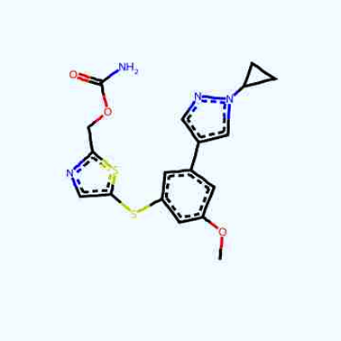 COc1cc(Sc2cnc(COC(N)=O)s2)cc(-c2cnn(C3CC3)c2)c1